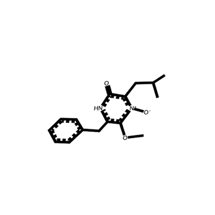 COc1c(Cc2ccccc2)[nH]c(=O)c(CC(C)C)[n+]1[O-]